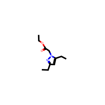 CCOC(=O)Cn1nc(CC)cc1CC